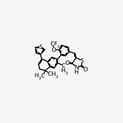 Cc1cc2c(cc1-c1cc(C=C3SC(=O)NC3=O)ccc1OC(F)(F)F)C(c1ccsc1)=CCC2(C)C